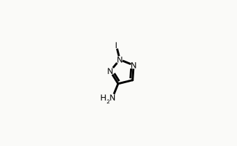 Nc1cnn(I)n1